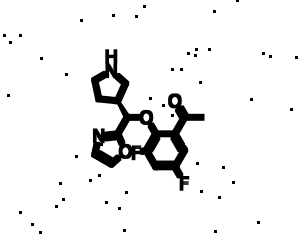 CC(=O)c1cc(F)cc(F)c1OC(c1ncco1)[C@H]1CCNC1